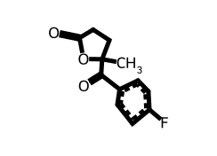 CC1(C(=O)c2ccc(F)cc2)CCC(=O)O1